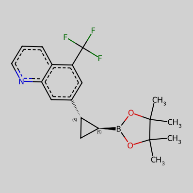 CC1(C)OB([C@H]2C[C@@H]2c2cc(C(F)(F)F)c3cccnc3c2)OC1(C)C